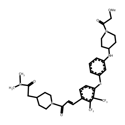 COCC(=O)N1CCC(Nc2cccc(Sc3ccc(C=CC(=O)N4CCC(CC(=O)N(C)C)CC4)c(C(F)(F)F)c3C(F)(F)F)c2)CC1